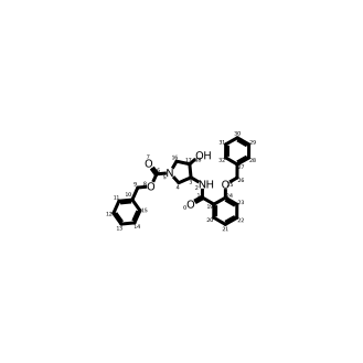 O=C(NC1CN(C(=O)OCc2ccccc2)CC1O)c1ccccc1OCc1ccccc1